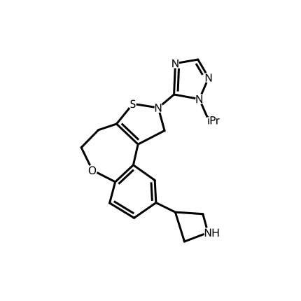 CC(C)n1ncnc1N1CC2=C(CCOc3ccc(C4CNC4)cc32)S1